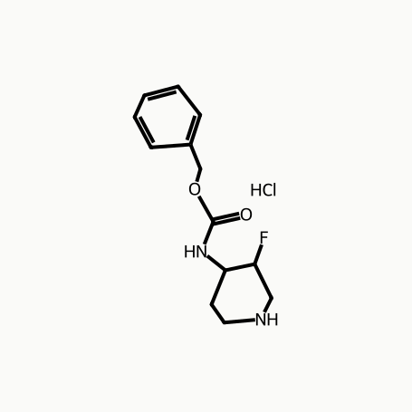 Cl.O=C(NC1CCNCC1F)OCc1ccccc1